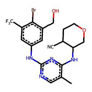 Cc1cnc(Nc2cc(CO)c(Br)c(C(F)(F)F)c2)nc1NC1COCCC1C#N